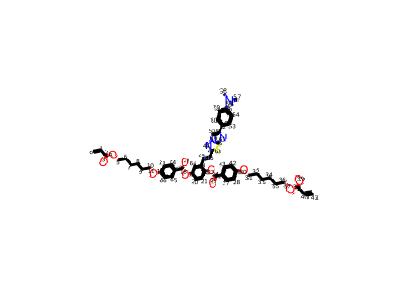 C=CC(=O)OCCCCCCOc1ccc(C(=O)Oc2ccc(OC(=O)c3ccc(OCCCCCCOC(=O)C=C)cc3)c(/C=C/c3nn4cc(-c5ccc(N(C)C)cc5)nc4s3)c2)cc1